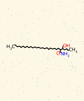 CCCCCCCCCCCCCCCCCCCCCCCCC(C(N)=O)C(CO)CCCC